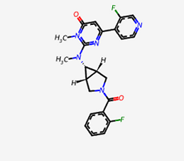 CN(c1nc(-c2ccncc2F)cc(=O)n1C)[C@@H]1[C@@H]2CN(C(=O)c3ccccc3F)C[C@@H]21